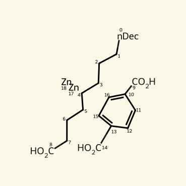 CCCCCCCCCCCCCCCCCC(=O)O.O=C(O)c1ccc(C(=O)O)cc1.[Zn].[Zn]